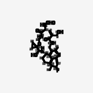 C=C(CO)C(=O)NCc1c(C)nc2c3c1[C@@H](NC(O)C1(OCNC(=O)CNC=O)CC1)CCC=3C(C)C(F)C=2